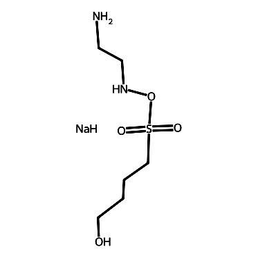 NCCNOS(=O)(=O)CCCCO.[NaH]